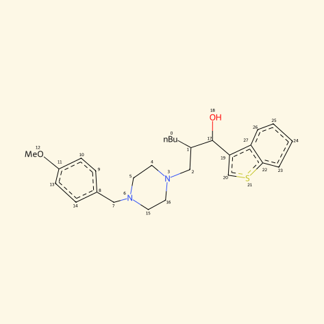 CCCCC(CN1CCN(Cc2ccc(OC)cc2)CC1)C(O)c1csc2ccccc12